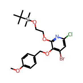 COc1ccc(COc2c(Br)cc(Cl)nc2OCCO[Si](C)(C)C(C)(C)C)cc1